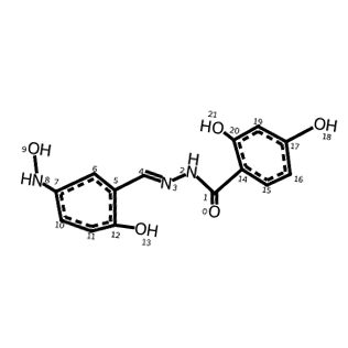 O=C(N/N=C/c1cc(NO)ccc1O)c1ccc(O)cc1O